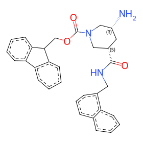 N[C@@H]1C[C@H](C(=O)NCc2cccc3ccccc23)CN(C(=O)OCC2c3ccccc3-c3ccccc32)C1